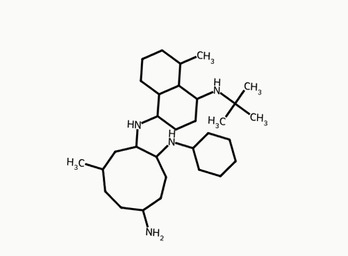 CC1CCC(N)CCC(NC2CCCCC2)C(NC2CCC(NC(C)(C)C)C3C(C)CCCC23)C1